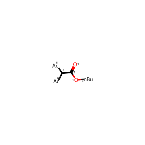 CCCCOC(=O)C(C(C)=O)C(C)=O